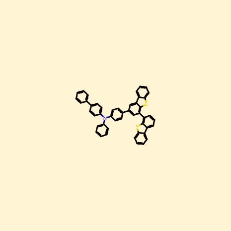 c1ccc(-c2ccc(N(c3ccccc3)c3ccc(-c4cc(-c5cccc6c5sc5ccccc56)c5sc6ccccc6c5c4)cc3)cc2)cc1